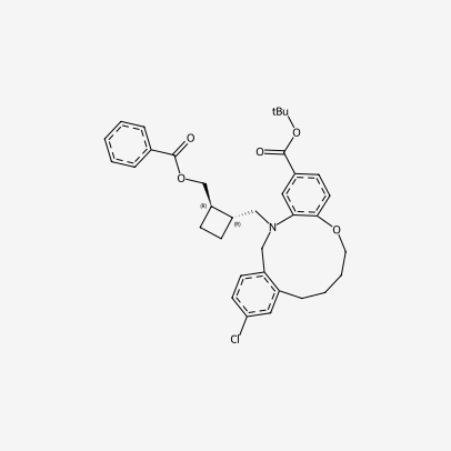 CC(C)(C)OC(=O)c1ccc2c(c1)N(C[C@@H]1CC[C@H]1COC(=O)c1ccccc1)Cc1ccc(Cl)cc1CCCCO2